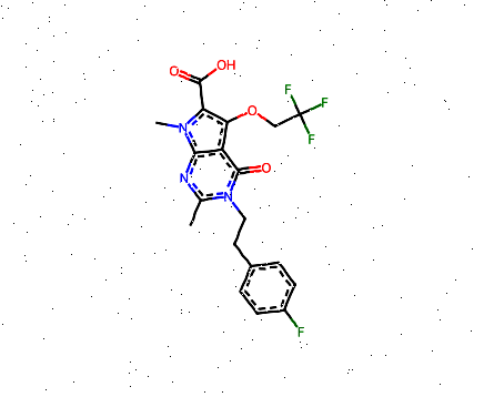 Cc1nc2c(c(OCC(F)(F)F)c(C(=O)O)n2C)c(=O)n1CCc1ccc(F)cc1